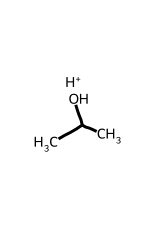 CC(C)O.[H+]